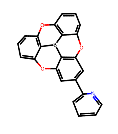 c1ccc(-c2cc3c4c(c2)Oc2cccc5c2B4c2c(cccc2O3)O5)nc1